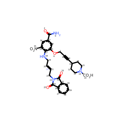 NC(=O)c1cc(OCC#CC2CCN(C(=O)O)CC2)c(NC/C=C/CN2C(=O)c3ccccc3C2=O)c([N+](=O)[O-])c1